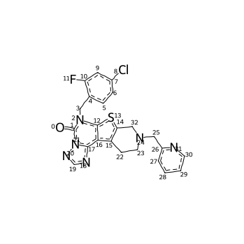 O=c1n(Cc2ccc(Cl)cc2F)c2sc3c(c2c2ncnn12)CCN(Cc1ccccn1)C3